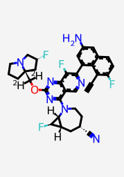 [2H]C([2H])(Oc1nc(N2CC[C@H](C#N)C[C@@H]3[C@@H](F)[C@@H]32)c2cnc(-c3cc(N)cc4ccc(F)c(C#C)c34)c(F)c2n1)[C@@]12CCCN1C[C@H](F)C2